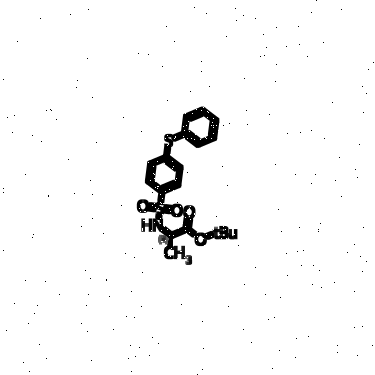 C[C@@H](NS(=O)(=O)c1ccc(Sc2ccccc2)cc1)C(=O)OC(C)(C)C